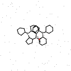 CN(C)[C@H](c1ccccc1P(C1CCCCC1)C1CCCCC1)C1CCCC1P(C1CCCCC1)C1CCCCC1